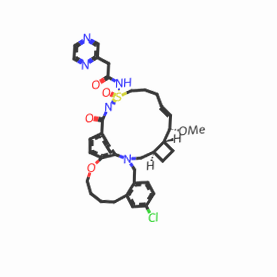 CO[C@H]1/C=C/CCC[S@@](=O)(NC(=O)Cc2cnccn2)=NC(=O)c2ccc3c(c2)N(Cc2ccc(Cl)cc2CCCCO3)C[C@@H]2CC[C@H]21